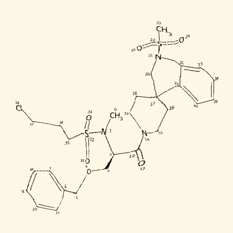 CN([C@H](COCc1ccccc1)C(=O)N1CCC2(CC1)CN(S(C)(=O)=O)c1ccccc12)S(=O)(=O)CCCCl